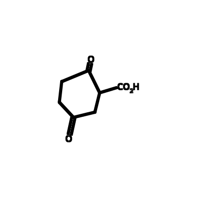 O=C1CCC(=O)C(C(=O)O)C1